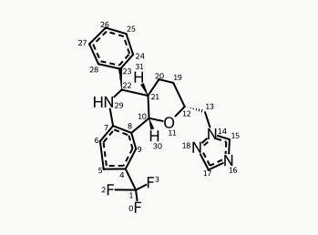 FC(F)(F)c1ccc2c(c1)[C@H]1O[C@@H](Cn3cncn3)CC[C@H]1[C@H](c1ccccc1)N2